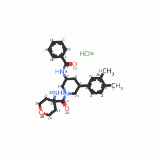 Cc1ccc(C2CC(NC(=O)c3ccccc3)CN(C(=O)C3(N)CCOCC3)C2)cc1C.Cl